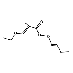 CCC=COOC(=O)C(C)=COCC